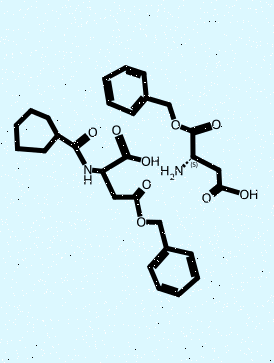 N[C@@H](CC(=O)O)C(=O)OCc1ccccc1.O=C(CC(NC(=O)C1CCCCC1)C(=O)O)OCc1ccccc1